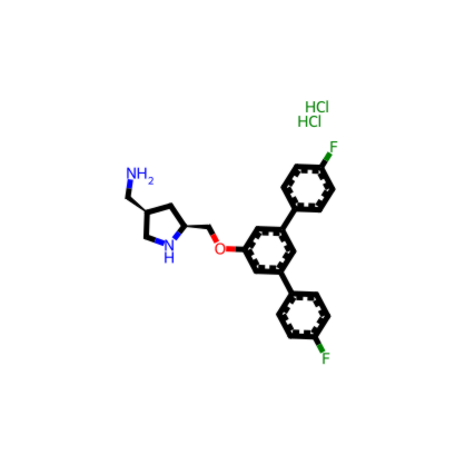 Cl.Cl.NC[C@@H]1CN[C@H](COc2cc(-c3ccc(F)cc3)cc(-c3ccc(F)cc3)c2)C1